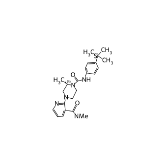 CNC(=O)c1cccnc1N1CCN(C(=O)Nc2ccc([Si](C)(C)C)cc2)[C@H](C)C1